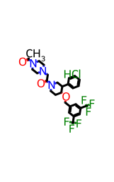 CC(=O)N1CCN(CC(=O)N2CCC(OCc3cc(C(F)(F)F)cc(C(F)(F)F)c3)C(c3ccccc3)C2)CC1.Cl